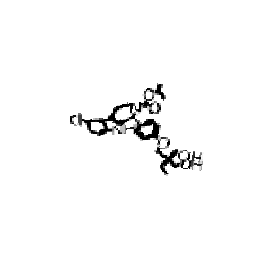 CCC(CO)(CO)COc1ccc([C@H]2c3[nH]c4c(c3CCN2C(=O)OC(C)C)=CC(Cl)CC=4)cc1